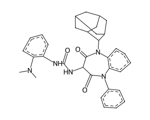 CN(C)c1ccccc1NC(=O)NC1C(=O)N(c2ccccc2)c2ccccc2N(C2C3CC4CC(C3)CC2C4)C1=O